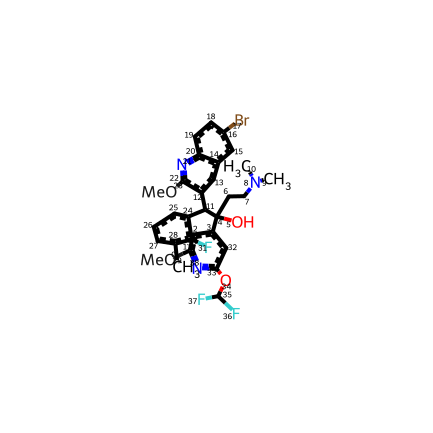 COc1cc(C(O)(CCN(C)C)C(c2cc3cc(Br)ccc3nc2OC)c2cccc(C)c2F)cc(OC(F)F)n1